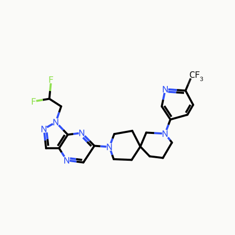 FC(F)Cn1ncc2ncc(N3CCC4(CCCN(c5ccc(C(F)(F)F)nc5)C4)CC3)nc21